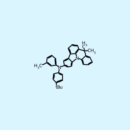 Cc1cccc(N(c2ccc(C(C)(C)C)cc2)c2ccc3c(c2)c2cccc4c2n3-c2ccccc2C4(C)C)c1